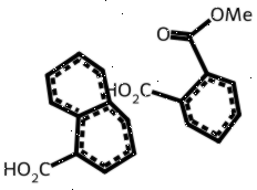 COC(=O)c1ccccc1C(=O)O.O=C(O)c1cccc2ccccc12